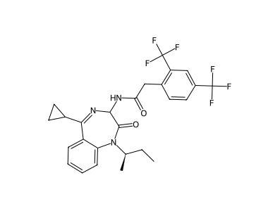 CC[C@@H](C)N1C(=O)C(NC(=O)Cc2ccc(C(F)(F)F)cc2C(F)(F)F)N=C(C2CC2)c2ccccc21